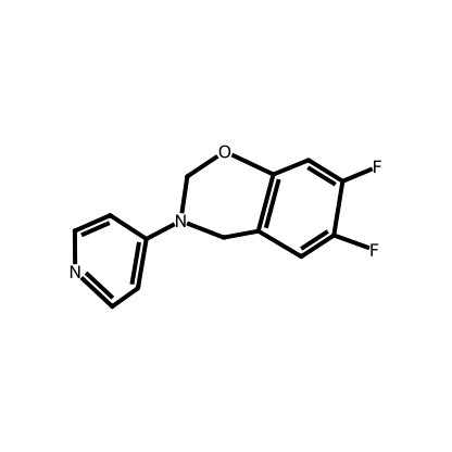 Fc1cc2c(cc1F)OCN(c1ccncc1)C2